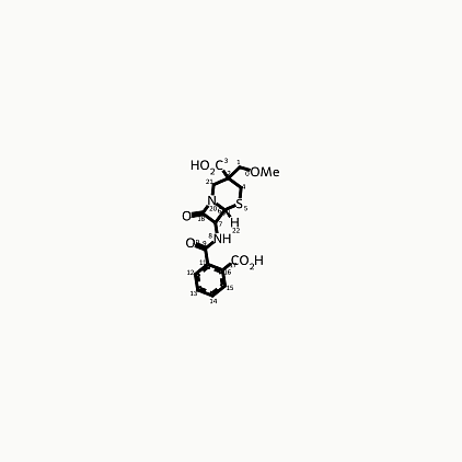 COCC1(C(=O)O)CS[C@@H]2C(NC(=O)c3ccccc3C(=O)O)C(=O)N2C1